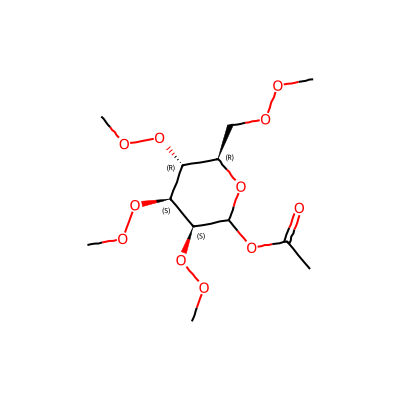 COOC[C@H]1OC(OC(C)=O)[C@@H](OOC)[C@@H](OOC)[C@@H]1OOC